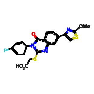 COc1nc(-c2ccc3c(=O)n(C4C=CC(F)=CC4)c(SCC(=O)O)nc3c2)cs1